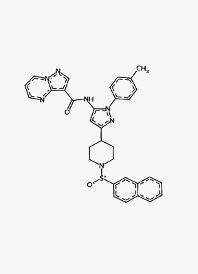 Cc1ccc(-n2nc(C3CCN([S+]([O-])c4ccc5ccccc5c4)CC3)cc2NC(=O)c2cnn3cccnc23)cc1